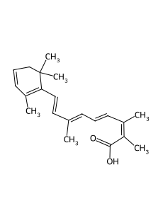 CC(C=CC1=C(C)C=CCC1(C)C)=CC=CC(C)=C(C)C(=O)O